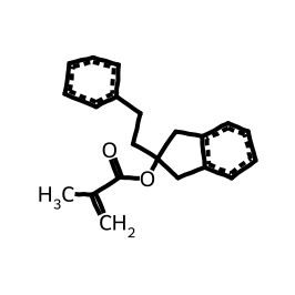 C=C(C)C(=O)OC1(CCc2ccccc2)Cc2ccccc2C1